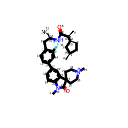 C[C@@H]1CC[C@H]([C@H](C)C(=O)N[C@H](C#N)Cc2ccc(-c3ccc4c(c3)C3(CCN(C)CC3)C(=O)N4C)cc2F)C1